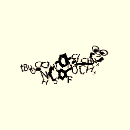 CC(C)(C)OC(=O)N[C@H]1CSc2cc(F)c(-c3nnc(C(C)(C)CN4CCS(=O)(=O)CC4)o3)cc2N(Cc2ccc(Cl)cc2)C1=O